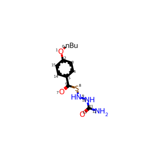 CCCCOc1ccc(C(=O)SNNC(N)=O)cc1